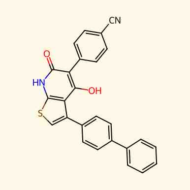 N#Cc1ccc(-c2c(O)c3c(-c4ccc(-c5ccccc5)cc4)csc3[nH]c2=O)cc1